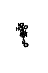 OC(CO[C@@H]1C2CC[N+](CCCOc3ccccc3)(CC2)[C@@H]1Br)(c1cccnc1)C1CCCC1